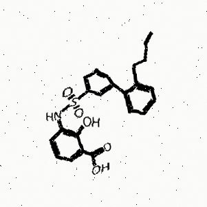 CCCCc1ccccc1-c1cccc(S(=O)(=O)Nc2cccc(C(=O)O)c2O)c1